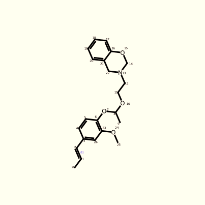 C/C=C/c1ccc(OC(C)OCCN2COc3ccccc3C2)c(OC)c1